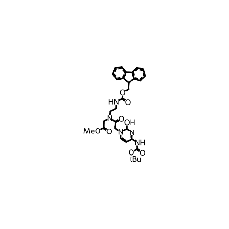 COC(=O)CN(CCNC(=O)OCC1c2ccccc2-c2ccccc21)C(=O)CN1C=CC(NC(=O)OC(C)(C)C)=NC1O